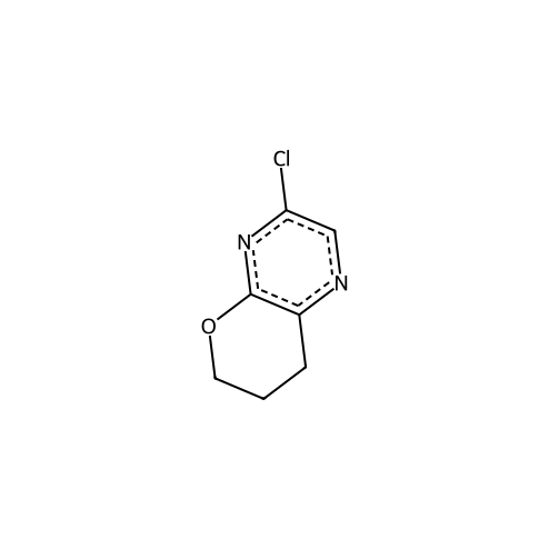 Clc1cnc2c(n1)OCCC2